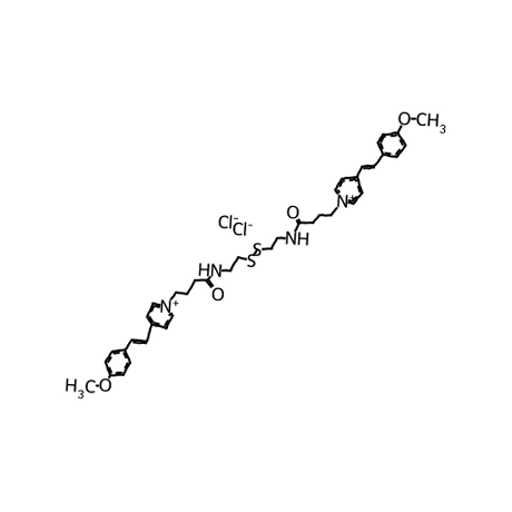 COc1ccc(C=Cc2cc[n+](CCCC(=O)NCCSSCCNC(=O)CCC[n+]3ccc(C=Cc4ccc(OC)cc4)cc3)cc2)cc1.[Cl-].[Cl-]